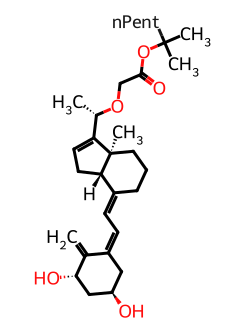 C=C1C(=CC=C2CCC[C@]3(C)C([C@H](C)OCC(=O)OC(C)(C)CCCCC)=CC[C@@H]23)C[C@@H](O)C[C@@H]1O